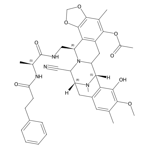 COc1c(C)cc2c(c1O)[C@H]1C3Cc4c(OC(C)=O)c(C)c5c(c4[C@H](CNC(=O)[C@H](C)NC(=O)CCc4ccccc4)N3C(C#N)[C@@H](C2)N1C)OCO5